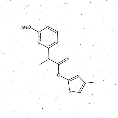 COc1cccc(N(C)C(=S)Oc2cc(C)cs2)n1